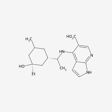 CC[C@]1(O)CC(C)C[C@H](C(C)Nc2c(C(=O)O)cnc3[nH]ccc23)C1